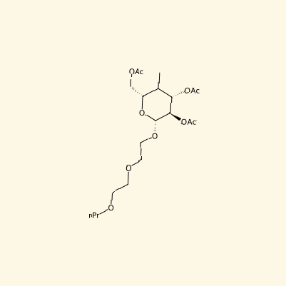 CCCOCCOCCO[C@@H]1O[C@H](COC(C)=O)C(C)[C@H](OC(C)=O)[C@H]1OC(C)=O